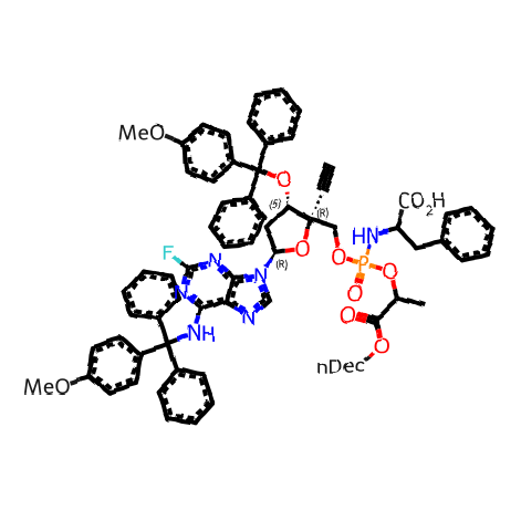 C#C[C@]1(COP(=O)(NC(Cc2ccccc2)C(=O)O)OC(C)C(=O)OCCCCCCCCCC)O[C@@H](n2cnc3c(NC(c4ccccc4)(c4ccccc4)c4ccc(OC)cc4)nc(F)nc32)C[C@@H]1OC(c1ccccc1)(c1ccccc1)c1ccc(OC)cc1